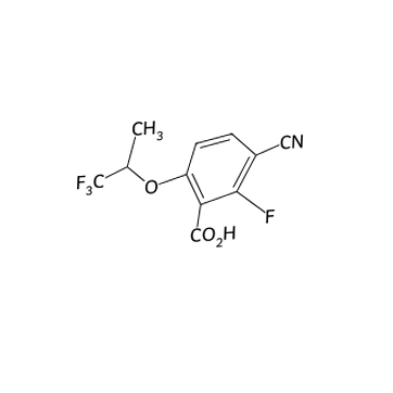 CC(Oc1ccc(C#N)c(F)c1C(=O)O)C(F)(F)F